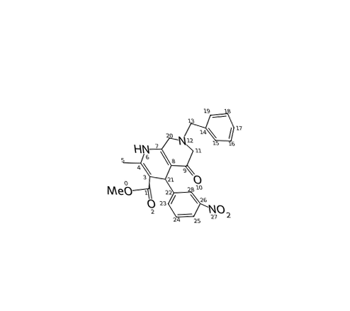 COC(=O)C1=C(C)NC2=C(C(=O)CN(Cc3ccccc3)C2)C1c1cccc([N+](=O)[O-])c1